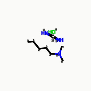 CCCCCN(C)C.Cl.N=C=N